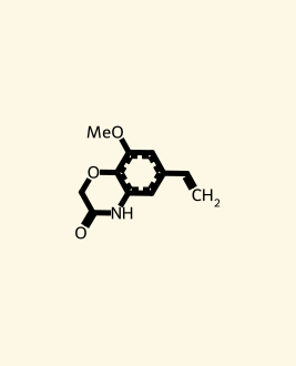 C=Cc1cc2c(c(OC)c1)OCC(=O)N2